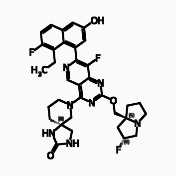 CCc1c(F)ccc2cc(O)cc(-c3ncc4c(N5CCC[C@@]6(CNC(=O)N6)C5)nc(OC[C@@]56CCCN5C[C@H](F)C6)nc4c3F)c12